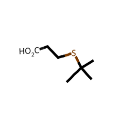 CC(C)(C)SCCC(=O)O